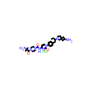 CCC(Cc1ccc(-n2ccc(NC(=O)N3CCN(C(=O)C(C)(C)N)CC3)nc2=O)cc1)N1CCC2(CC(N)C2)C1.Cl